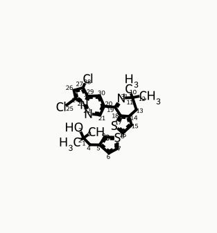 CC(C)(O)Cc1ccsc1.CC1(C)Cc2ccsc2C(c2cnn3c(Cl)cc(Cl)c3c2)=N1